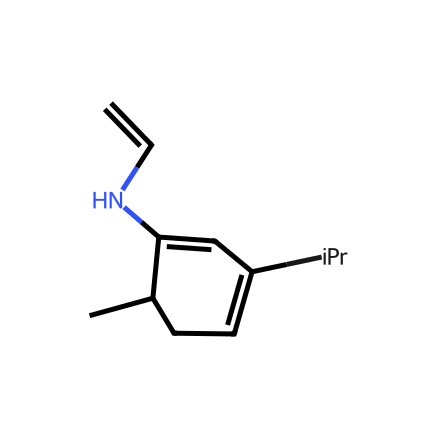 C=CNC1=CC(C(C)C)=CCC1C